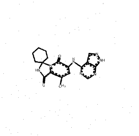 Cc1cc(Nc2ncnc3[nH]ncc23)c(=O)n2c1C(=O)NC21CCCCC1